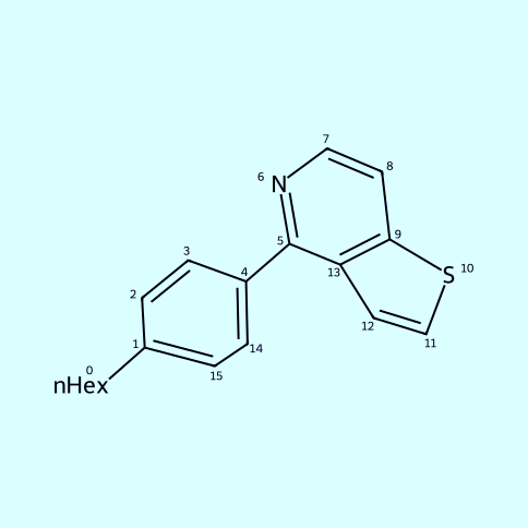 CCCCCCc1ccc(-c2nccc3sccc23)cc1